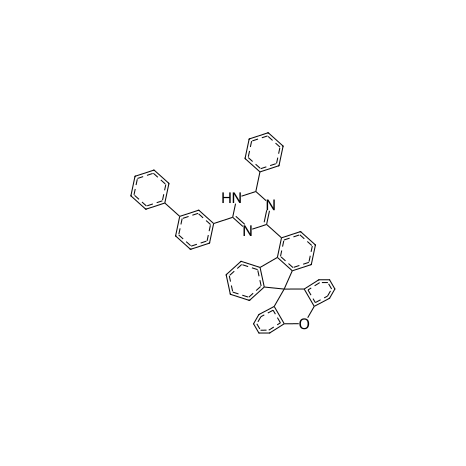 c1ccc(-c2cccc(C3=NC(c4cccc5c4-c4ccccc4C54c5ccccc5Oc5ccccc54)=NC(c4ccccc4)N3)c2)cc1